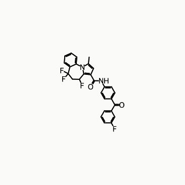 Cc1cc(C(=O)Nc2ccc(C(=O)c3cccc(F)c3)cc2)c2n1-c1ccccc1C(F)(F)CC2F